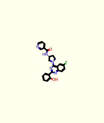 O=C(N[C@@H]1CCN(c2nc(-c3ccccc3O)nc3ccc(F)cc23)C1)c1cccnc1